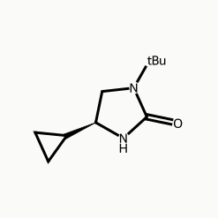 CC(C)(C)N1C[C@H](C2CC2)NC1=O